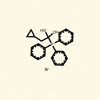 OC(O)(CC1CC1)[P+](c1ccccc1)(c1ccccc1)c1ccccc1.[Br-]